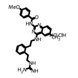 COc1ccc(C(=O)Nc2nc(NCCc3ccccc3CCNC(=N)N)c3cc(C)ccc3n2)cc1.Cl.Cl